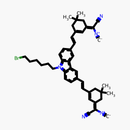 [C-]#[N+]/C(C#N)=C1C=C(/C=C/c2ccc3c(c2)c2cc(/C=C/C4=CC(=C(\C#N)[N+]#[C-])/CC(C)(C)C4)ccc2n3CCCCCCBr)CC(C)(C)C\1